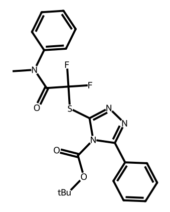 CN(C(=O)C(F)(F)Sc1nnc(-c2ccccc2)n1C(=O)OC(C)(C)C)c1ccccc1